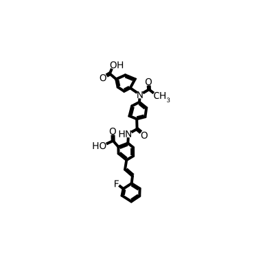 CC(=O)N(c1ccc(C(=O)O)cc1)c1ccc(C(=O)Nc2ccc(C=Cc3ccccc3F)cc2C(=O)O)cc1